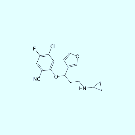 N#Cc1cc(F)c(Cl)cc1OC(CCNC1CC1)c1ccoc1